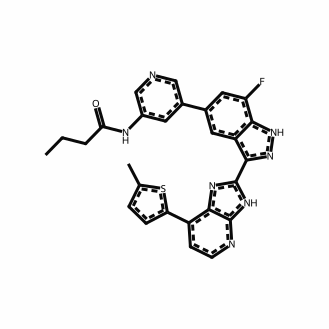 CCCC(=O)Nc1cncc(-c2cc(F)c3[nH]nc(-c4nc5c(-c6ccc(C)s6)ccnc5[nH]4)c3c2)c1